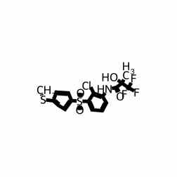 CSc1ccc(S(=O)(=O)c2cccc(NC(=O)C(C)(O)C(F)(F)F)c2Cl)cc1